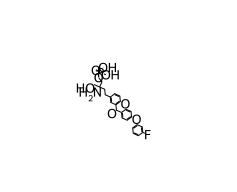 NC(CO)(CCc1ccc2oc3cc(Oc4cccc(F)c4)ccc3c(=O)c2c1)COP(=O)(O)O